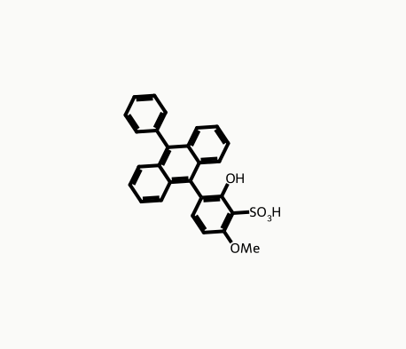 COc1ccc(-c2c3ccccc3c(-c3ccccc3)c3ccccc23)c(O)c1S(=O)(=O)O